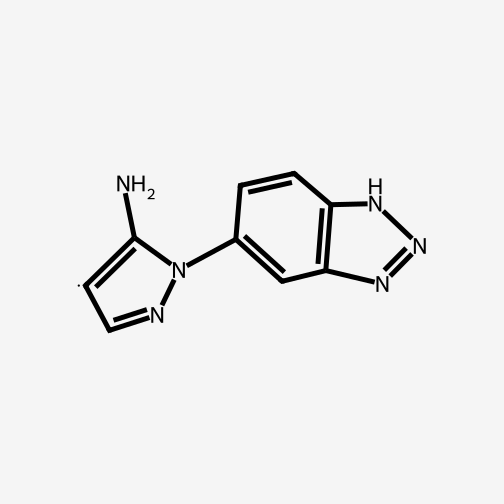 Nc1[c]cnn1-c1ccc2[nH]nnc2c1